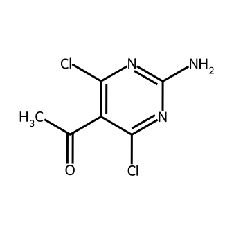 CC(=O)c1c(Cl)nc(N)nc1Cl